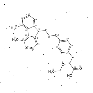 CCOC(Cc1ccc(OCCC2c3cccc(C)c3-c3c(C)cccc32)cc1)C(=O)O